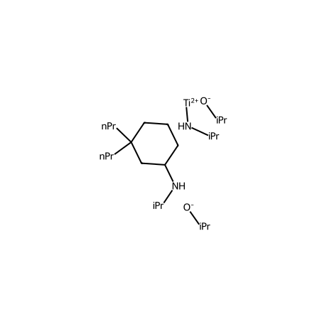 CC(C)[NH][Ti+2].CC(C)[O-].CC(C)[O-].CCCC1(CCC)CCCC(NC(C)C)C1